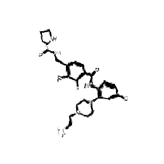 O=C(Nc1ccc(Cl)cc1N1CCN(CCC(F)(F)F)CC1)c1ccc(CNC(=O)[C@@H]2CCCN2)c(F)c1F